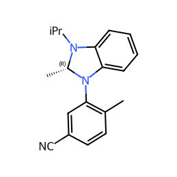 Cc1ccc(C#N)cc1N1c2ccccc2N(C(C)C)[C@H]1C